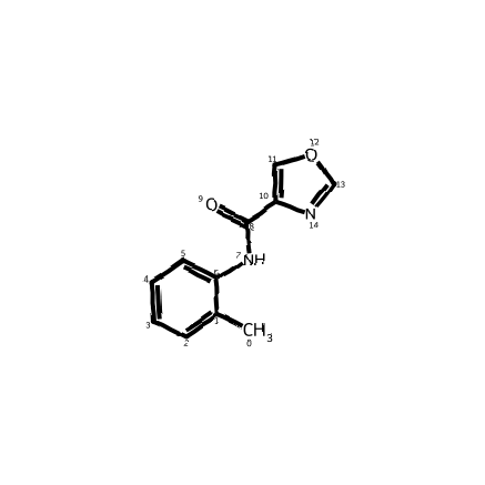 Cc1ccccc1NC(=O)c1cocn1